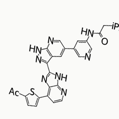 CC(=O)c1ccc(-c2ccnc3[nH]c(-c4n[nH]c5ncc(-c6cncc(NC(=O)CC(C)C)c6)cc45)nc23)s1